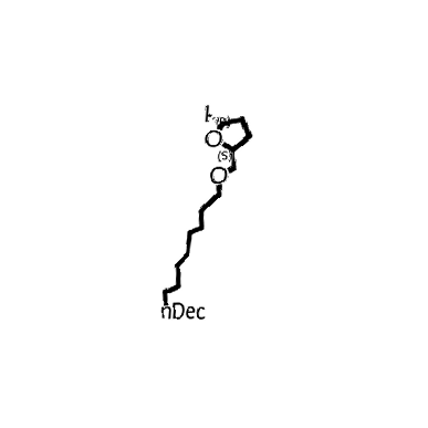 CCCCCCCCCCCCCCCCCCOC[C@@H]1CC[C@@H](I)O1